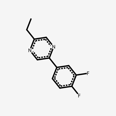 CCc1cnc(-c2ccc(F)c(F)c2)cn1